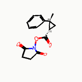 C[C@@]1(c2ccccc2)C[C@@H]1C(=O)ON1C(=O)CCC1=O